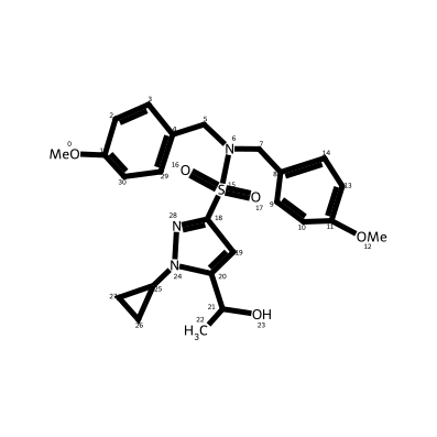 COc1ccc(CN(Cc2ccc(OC)cc2)S(=O)(=O)c2cc(C(C)O)n(C3CC3)n2)cc1